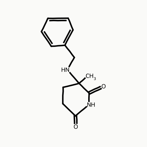 CC1(NCc2ccccc2)CCC(=O)NC1=O